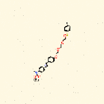 Cc1ccc(SOCCOCCOCCOc2ccc(/C=C/c3ccc(N(C)C(=O)OC(C)(C)C)cc3)cc2)cc1